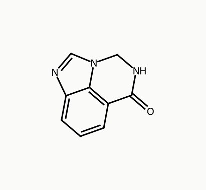 O=C1NCn2cnc3cccc1c32